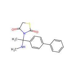 CNC(C)(c1ccc(-c2ccccc2)cc1)N1C(=O)CSC1=O